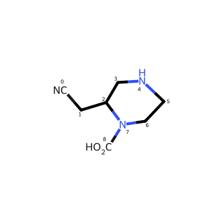 N#CCC1CNCCN1C(=O)O